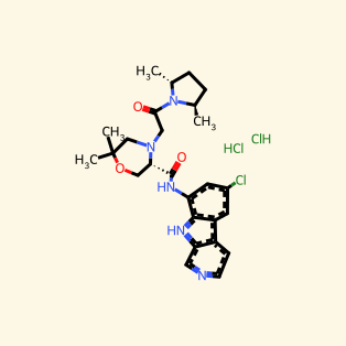 C[C@@H]1CC[C@@H](C)N1C(=O)CN1CC(C)(C)OC[C@H]1C(=O)Nc1cc(Cl)cc2c1[nH]c1cnccc12.Cl.Cl